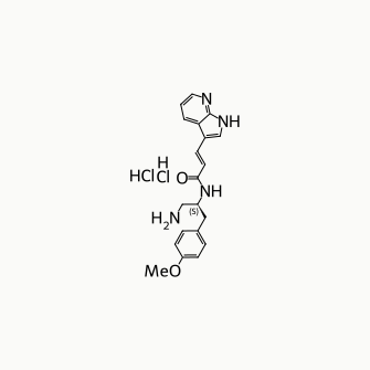 COc1ccc(C[C@@H](CN)NC(=O)C=Cc2c[nH]c3ncccc23)cc1.Cl.Cl